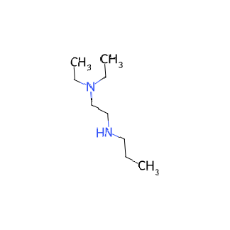 CCCNCCN(CC)CC